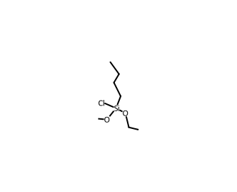 CCCC[Si](Cl)(OC)OCC